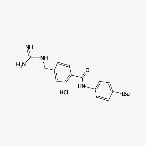 CC(C)(C)c1ccc(NC(=O)c2ccc(CNC(=N)N)cc2)cc1.Cl